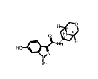 CC(C)n1nc(C(=O)N[C@H]2C[C@H]3COC[C@@H](C2)N3)c2ccc(O)cc21